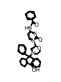 O=C(Nc1ccn(C2CN(C(c3ccccc3)(c3ccccc3)c3ccccc3CO)CCO2)c(=O)n1)c1ccccc1